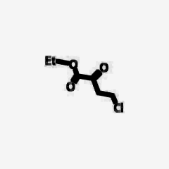 CCOC(=O)C(=O)CCCl